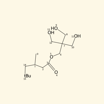 CC(CC(=O)OCC(CO)(CO)CO)CC(C)(C)C